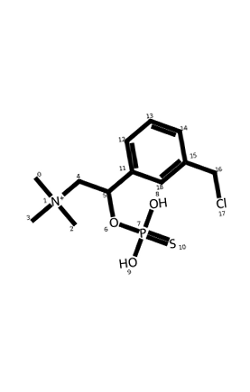 C[N+](C)(C)CC(OP(O)(O)=S)c1cccc(CCl)c1